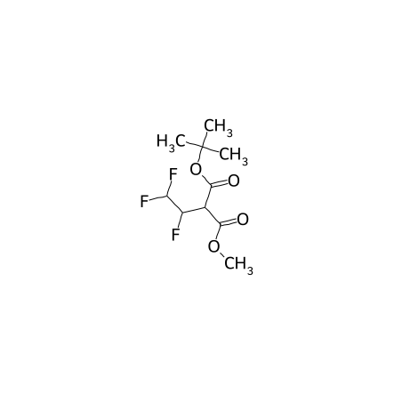 COC(=O)C(C(=O)OC(C)(C)C)C(F)C(F)F